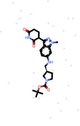 Cn1nc(C2CCC(=O)NC2=O)c2ccc(NC[C@H]3CCN(C(=O)OC(C)(C)C)C3)cc21